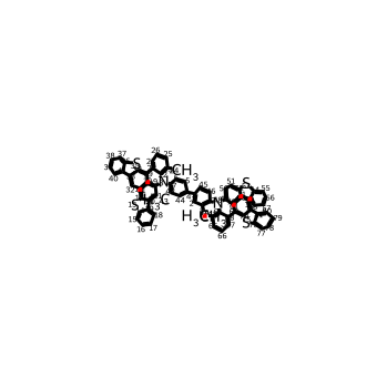 Cc1cc(-c2ccc(N(c3ccc4sc5ccccc5c4c3)c3c(C)cccc3-c3cccc4c3sc3ccccc34)c(C)c2)ccc1N(c1ccc2sc3ccccc3c2c1)c1c(C)cccc1-c1cccc2c1sc1ccccc12